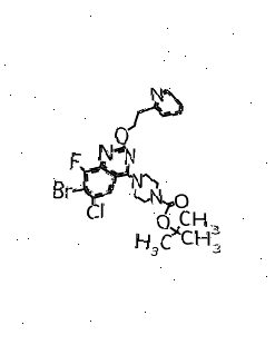 CC(C)(C)OC(=O)N1CCN(c2nc(OCCc3ccccn3)nc3c(F)c(Br)c(Cl)cc23)CC1